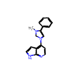 CN1CN(c2ccnc3[nH]ccc23)C=C1c1ccccc1